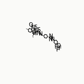 CCC(C)Oc1ccc(C)cc1N1C(=O)CS/C1=N\C(=S)N/N=C/c1ccc(-c2ncn(-c3ccc(OC(F)(F)F)cc3)n2)cc1